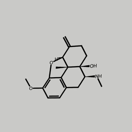 C=C1CC[C@]2(O)[C@@H](NC)Cc3ccc(OC)c4c3[C@]2(C)[C@@H]1O4